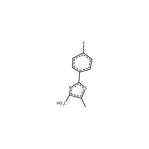 Cc1sc(-c2ccc(F)cc2)nc1C(=O)O